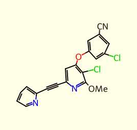 COc1nc(C#Cc2ccccn2)cc(Oc2cc(Cl)cc(C#N)c2)c1Cl